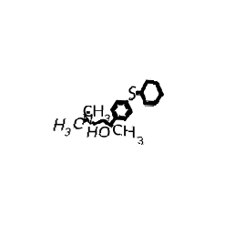 CN(C)CCC(C)(O)c1ccc(SC2CCCCC2)cc1